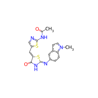 CC(=O)Nc1ncc(C=C2SC(=Nc3ccc4c(ccn4C)c3)NC2=O)s1